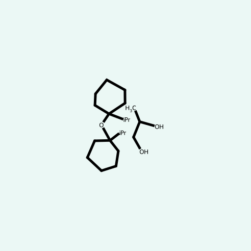 CC(C)C1(OC2(C(C)C)CCCCC2)CCCCC1.CC(O)CO